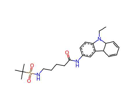 CCN1c2ccc(NC(=O)CCCCNS(=O)(=O)C(C)(C)C)cc2C2C=CC=CC21